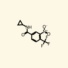 O=C(NC1CC1)c1ccc(C(F)(F)F)c([N+](=O)[O-])c1